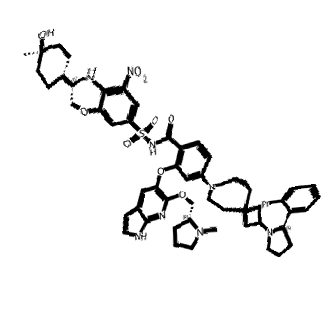 CC(C)c1ccccc1[C@H]1CCCN1C1CC2(CCN(c3ccc(C(=O)NS(=O)(=O)c4cc5c(c([N+](=O)[O-])c4)N[C@@H]([C@H]4CC[C@](C)(O)CC4)CO5)c(Oc4cc5cc[nH]c5nc4OC[C@H]4CCCN4C)c3)CC2)C1